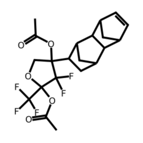 CC(=O)OC1(C2CC3CC2C2C4C=CC(C4)C32)COC(OC(C)=O)(C(F)(F)F)C1(F)F